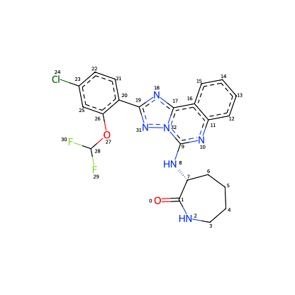 O=C1NCCCC[C@H]1Nc1nc2ccccc2c2nc(-c3ccc(Cl)cc3OC(F)F)nn12